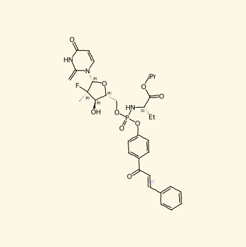 C=C1NC(=O)C=CN1[C@@H]1O[C@H](COP(=O)(N[C@@H](CC)C(=O)OC(C)C)Oc2ccc(C(=O)/C=C/c3ccccc3)cc2)[C@@H](O)[C@@]1(C)F